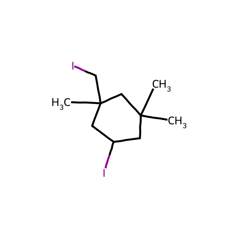 CC1(C)CC(I)CC(C)(CI)C1